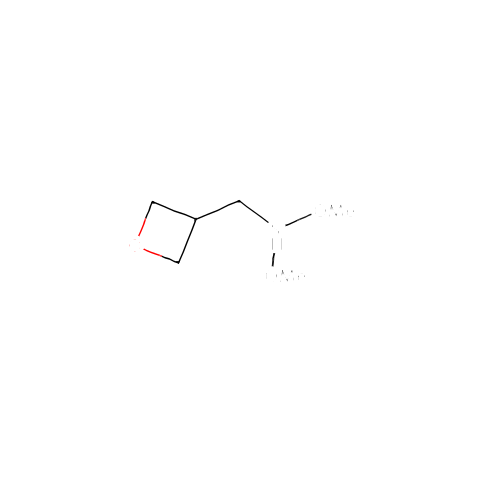 CO[SiH](CC1COC1)OC